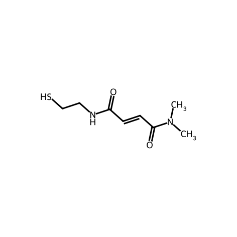 CN(C)C(=O)C=CC(=O)NCCS